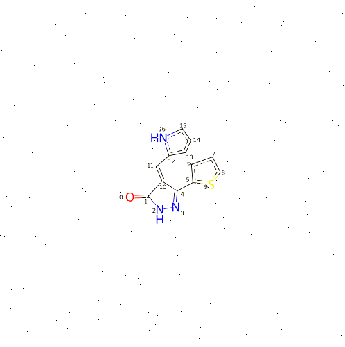 O=C1NN=C(c2cccs2)C1=Cc1ccc[nH]1